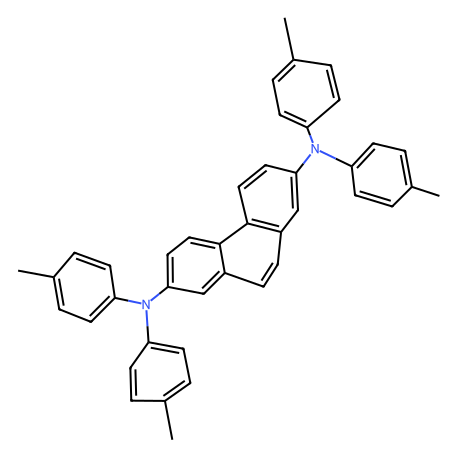 Cc1ccc(N(c2ccc(C)cc2)c2ccc3c(ccc4cc(N(c5ccc(C)cc5)c5ccc(C)cc5)ccc43)c2)cc1